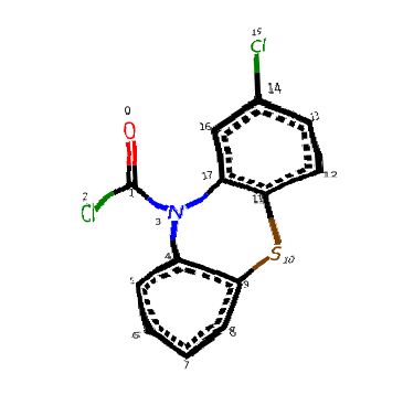 O=C(Cl)N1c2ccccc2Sc2ccc(Cl)cc21